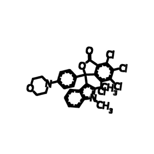 Cc1c(C2(c3ccc(N4CCOCC4)cc3)OC(=O)c3c(Cl)c(Cl)c(Cl)c(Cl)c32)c2ccccc2n1C